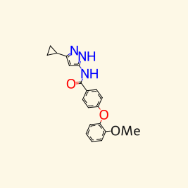 COc1ccccc1Oc1ccc(C(=O)Nc2cc(C3CC3)n[nH]2)cc1